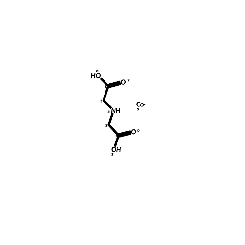 O=C(O)CNCC(=O)O.[Co]